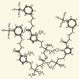 Cn1c(CCC(C)(N)COP(=O)(OCC(C)(N)CCc2ccc(C(=O)CCCc3cccc(C(F)(F)F)c3)n2C)OCC(C)(N)CCc2ccc(C(=O)CCCc3cccc(C(F)(F)F)c3)n2C)ccc1C(=O)CCCc1cccc(C(F)(F)F)c1